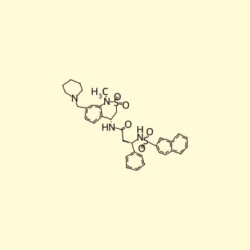 CN1c2cc(CN3CCCCC3)ccc2[C@@H](NC(=O)C[C@@H](NS(=O)(=O)c2ccc3ccccc3c2)c2ccccc2)CS1(=O)=O